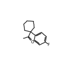 CC(=O)C1(c2ccc(F)cc2)CCCCC1